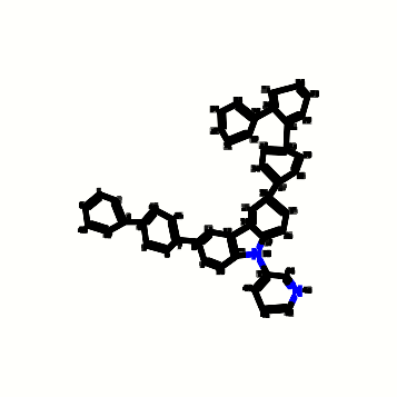 c1ccc(-c2ccc(-c3ccc4c(c3)c3cc(-c5ccc(-c6ccccc6-c6ccccc6)cc5)ccc3n4-c3cccnc3)cc2)cc1